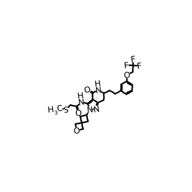 CSCC(=O)Nc1c2c(nn1C1CC3(COC3)C1)CC(CCc1cccc(OCC(F)(F)F)c1)NC2=O